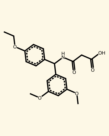 CCOc1ccc(C(NC(=O)CC(=O)O)c2cc(OC)cc(OC)c2)cc1